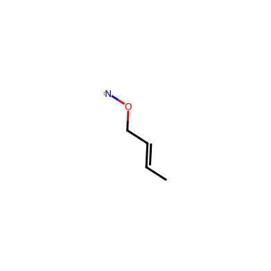 CC=CCO[N]